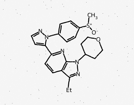 CCc1nn(C2CCOCC2)c2nc(-c3ccnn3-c3ccc([S+](C)[O-])cc3)ccc12